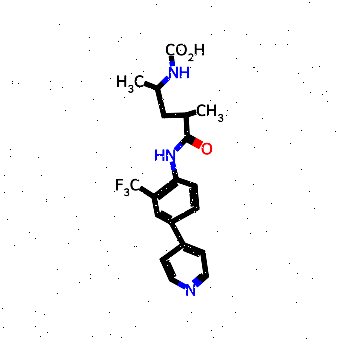 CC(CC(C)C(=O)Nc1ccc(-c2ccncc2)cc1C(F)(F)F)NC(=O)O